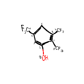 Oc1cc(C(F)(F)F)cc(C(F)(F)F)c1C(F)(F)F